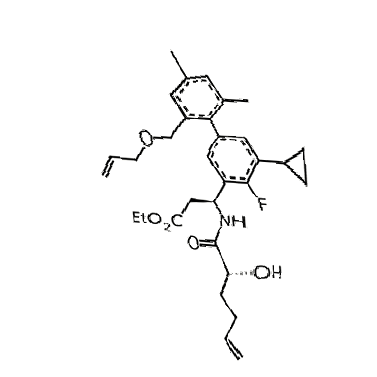 C=CCC[C@@H](O)C(=O)N[C@@H](CC(=O)OCC)c1cc(-c2c(C)cc(C)cc2COCC=C)cc(C2CC2)c1F